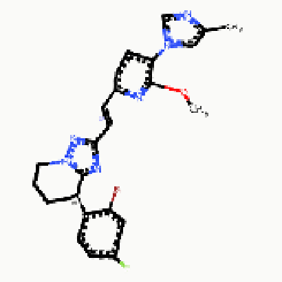 COc1nc(/C=C/c2nc3n(n2)CCC[C@@H]3c2ccc(F)cc2Br)ccc1-n1cnc(C)c1